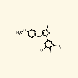 COc1ccc(Cn2cc(Cl)nc2-c2cc(C)c(=O)n(C)c2)nc1